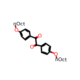 CCCCCCCCOc1ccc(C(=O)C(=O)c2ccc(OCCCCCCCC)cc2)cc1